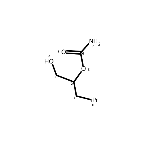 CC(C)CC(CO)OC(N)=O